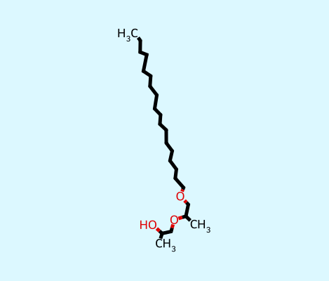 CCCCCCCCCCCCCCCCCCOCC(C)OCC(C)O